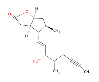 CC#CCC(C)[C@H](O)/C=C/[C@@H]1[C@H]2CC(=O)O[C@H]2C[C@H]1C